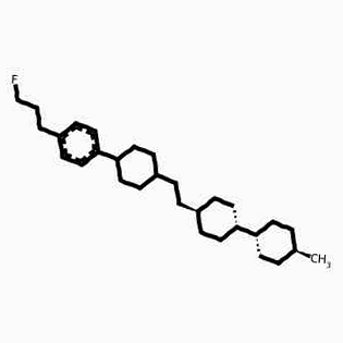 C[C@H]1CC[C@H]([C@H]2CC[C@H](CCC3CCC(c4ccc(CCCF)cc4)CC3)CC2)CC1